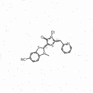 CCn1c(=O)/c(=C2\Sc3cc(C#N)ccc3N2C)s/c1=C\c1ccccn1